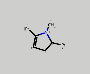 CC(C)C1=CCC(C(C)C)N1C